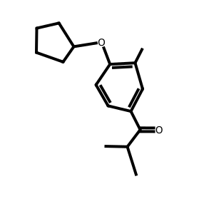 Cc1cc(C(=O)C(C)C)ccc1OC1CCCC1